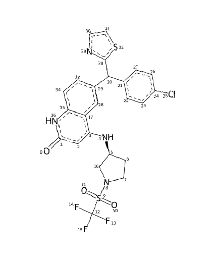 O=c1cc(N[C@H]2CCN(S(=O)(=O)C(F)(F)F)C2)c2cc(C(c3ccc(Cl)cc3)c3nccs3)ccc2[nH]1